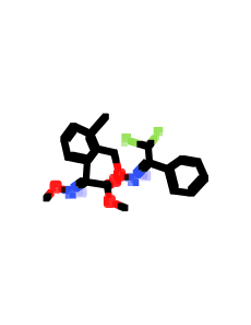 CO/N=C(/C(=O)OC)c1cccc(C)c1CO/N=C(/c1ccccc1)C(F)F